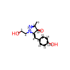 CC1=NN(CCO)C(=Cc2ccc(O)cc2)C1=O